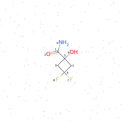 NC(=O)C1(O)CC(F)(F)C1